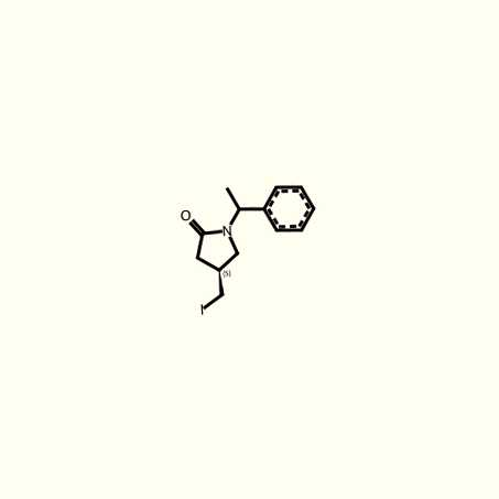 CC(c1ccccc1)N1C[C@@H](CI)CC1=O